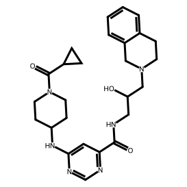 O=C(NCC(O)CN1CCc2ccccc2C1)c1cc(NC2CCN(C(=O)C3CC3)CC2)ncn1